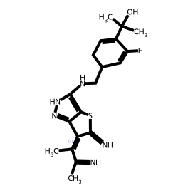 CC(=N)/C(C)=C1\C(=N)Sc2c1n[nH]c2NCC1C=C(F)C(C(C)(C)O)=CC1